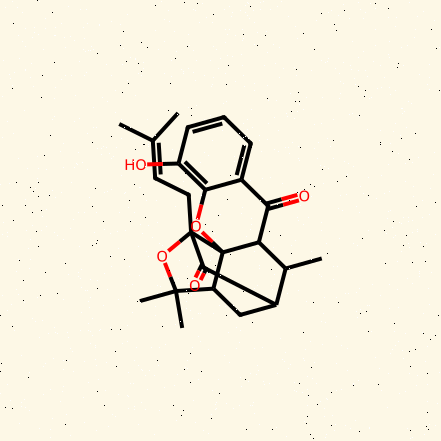 CC(C)=CCC12OC(C)(C)C3CC(C1=O)C(C)C1C(=O)c4cccc(O)c4OC132